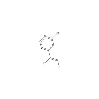 CC=C(CC)c1ccnc(Cl)c1